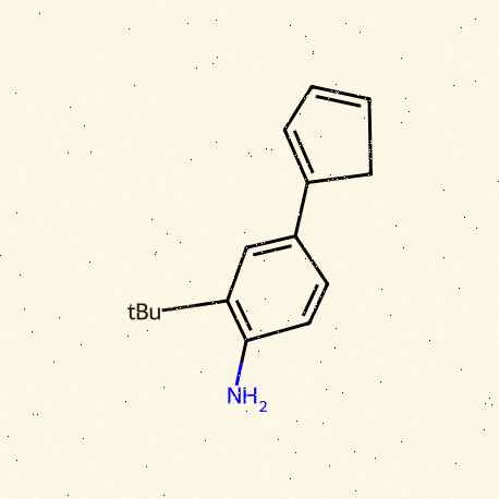 CC(C)(C)c1cc(C2=CC=CC2)ccc1N